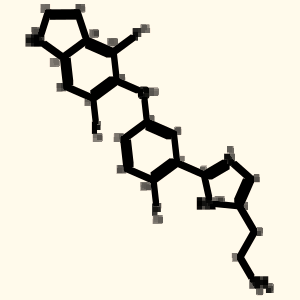 NCCc1cnc(-c2cc(Oc3c(F)cc4[nH]ccc4c3F)ccc2F)[nH]1